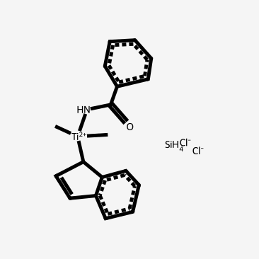 [CH3][Ti+2]([CH3])([NH]C(=O)c1ccccc1)[CH]1C=Cc2ccccc21.[Cl-].[Cl-].[SiH4]